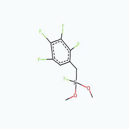 CO[Si](F)(Cc1cc(F)c(F)c(F)c1F)OC